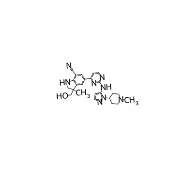 CN1CCC(n2nccc2Nc2nccc(-c3cc(C#N)c4c(c3)C(C)(CO)CN4)n2)CC1